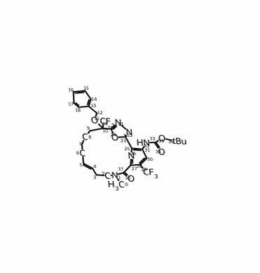 CN1CC/C=C/CCCCC(OCc2ccccc2)(C(F)(F)F)c2nnc(o2)-c2nc(c(C(F)(F)F)cc2NC(=O)OC(C)(C)C)C1=O